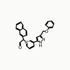 O=CC(c1ccc2ccccc2c1)[n+]1cccc(-c2cc(COc3ccccc3)n[nH]2)c1